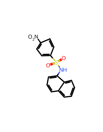 O=[N+]([O-])c1ccc(S(=O)(=O)Nc2cccc3ccccc23)cc1